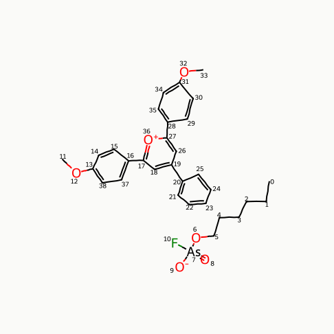 CCCCCCO[As](=O)([O-])F.COc1ccc(-c2cc(-c3ccccc3)cc(-c3ccc(OC)cc3)[o+]2)cc1